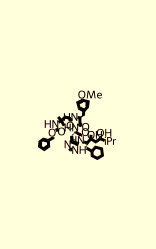 COc1ccc(C[C@H](NC(=O)CC(C)(C)NC(=O)OCc2ccccc2)C(=O)N[C@@H](Cc2c[nH]cn2)C(=O)N[C@@H](CC2CCCCC2)C(O)CC(O)C(C)C)cc1